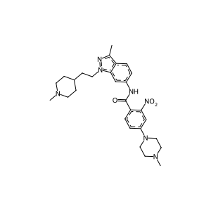 Cc1nn(CCC2CCN(C)CC2)c2cc(NC(=O)c3ccc(N4CCN(C)CC4)cc3[N+](=O)[O-])ccc12